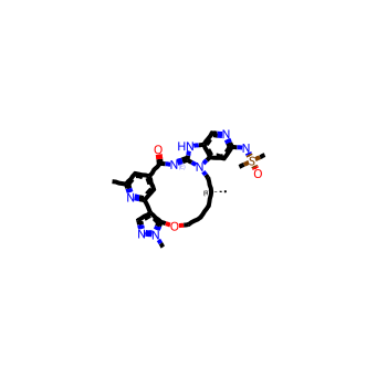 Cc1cc2cc(n1)-c1cnn(C)c1OCCC[C@@H](C)CN1/C(=N/C2=O)Nc2cnc(N=S(C)(C)=O)cc21